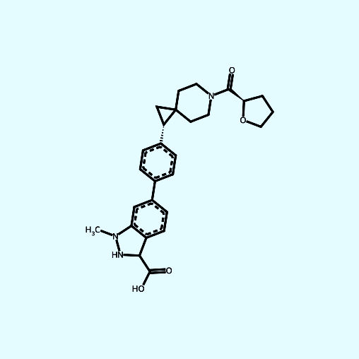 CN1NC(C(=O)O)c2ccc(-c3ccc([C@@H]4CC45CCN(C(=O)[C@H]4CCCO4)CC5)cc3)cc21